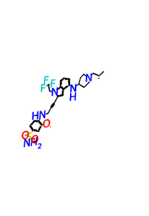 C[CH]CN1CCC(Nc2cccc3c2cc(C#CCNc2ccc(S(N)(=O)=O)cc2OC)n3CC(F)(F)F)CC1